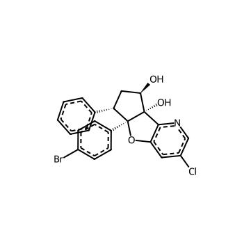 O[C@@H]1C[C@@H](c2ccccc2)[C@]2(c3ccc(Br)cc3)Oc3cc(Cl)cnc3[C@]12O